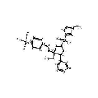 Cn1cnc(S(=O)(=O)N2CC(c3ccccc3)C(CO)(NCc3ccc(C(F)(F)F)cc3)C2)c1